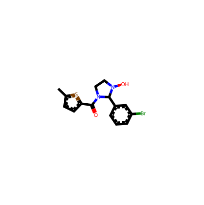 Cc1ccc(C(=O)N2CCN(O)C2c2cccc(Br)c2)s1